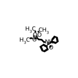 CCO[Si](CCCNP(=O)(c1ccccc1)c1ccccc1)(OCC)OCC